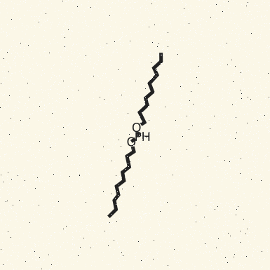 CCCCCCCCCCOPOCCCCCCCCCC